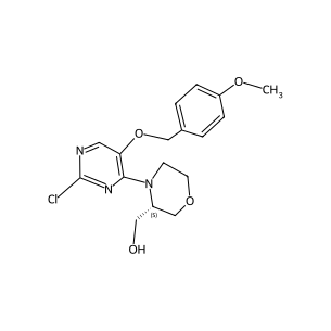 COc1ccc(COc2cnc(Cl)nc2N2CCOC[C@@H]2CO)cc1